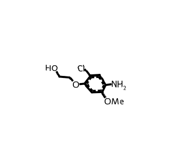 COc1cc(OCCO)c(Cl)cc1N